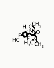 CCN(CC)Cc1cc(-c2ccc(F)cc2F)nn(CC(C)C)c1=O.Cl